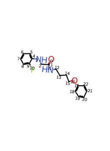 O=C(CNc1ccccc1F)NCCCCOc1ccccc1